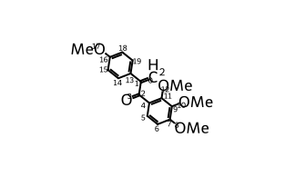 C=C(C(=O)c1ccc(OC)c(OC)c1OC)c1ccc(OC)cc1